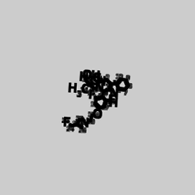 C[C@@H]1Cc2c([nH]c3ccccc23)[C@@H](c2c(F)cc(OCCN3CC(CF)C3)cc2F)N1CC(C)(C)CO